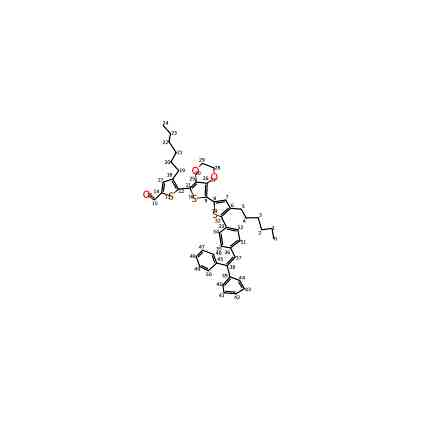 CCCCCCc1cc(-c2sc(-c3sc(C=O)cc3CCCCCC)c3c2OCCO3)sc1-c1ccc(C=C(c2ccccc2)c2ccccc2)cc1